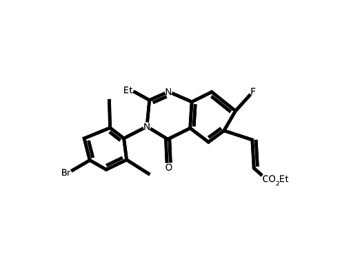 CCOC(=O)C=Cc1cc2c(=O)n(-c3c(C)cc(Br)cc3C)c(CC)nc2cc1F